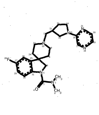 CN(C)C(=O)N1CC2(CCN(CC3CCN(c4cnccn4)C3)CC2)c2cc(F)ccc21